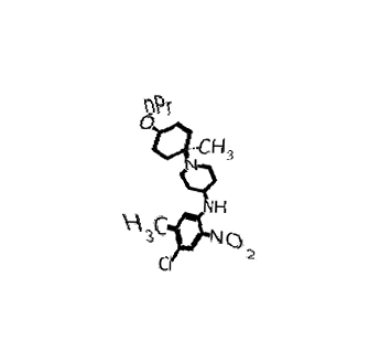 CCCO[C@H]1CC[C@@](C)(N2CCC(Nc3cc(C)c(Cl)cc3[N+](=O)[O-])CC2)CC1